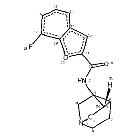 O=C(N[C@H]1CN2CCC1CC2)c1cc2cccc(F)c2o1